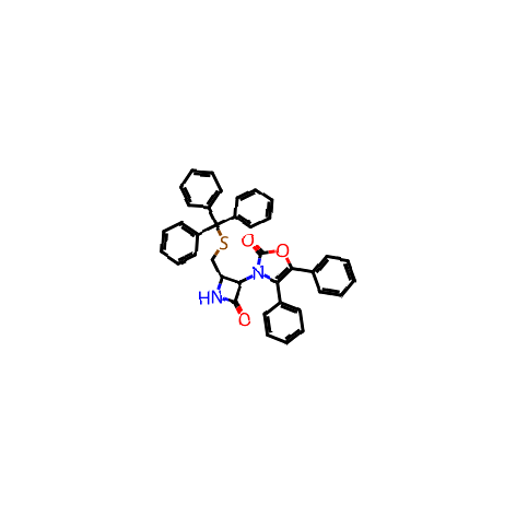 O=C1NC(CSC(c2ccccc2)(c2ccccc2)c2ccccc2)C1n1c(-c2ccccc2)c(-c2ccccc2)oc1=O